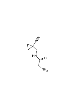 C#CC1(CNC(=O)CN)CC1